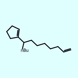 C=CCCCCCC(CCCC)C1=CCCC1